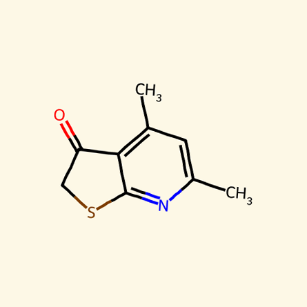 Cc1cc(C)c2c(n1)SCC2=O